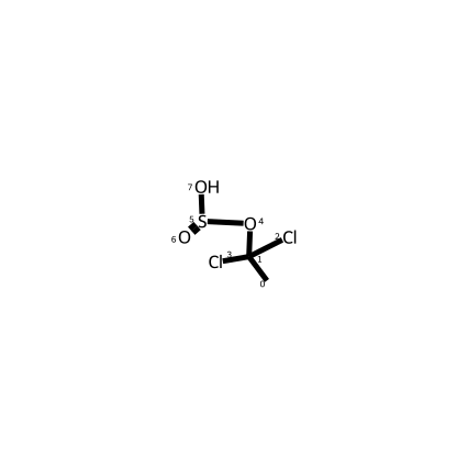 CC(Cl)(Cl)OS(=O)O